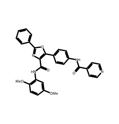 COc1ccc(OC)c(NC(=O)c2nc(-c3ccccc3)oc2-c2ccc(NC(=O)c3ccncc3)cc2)c1